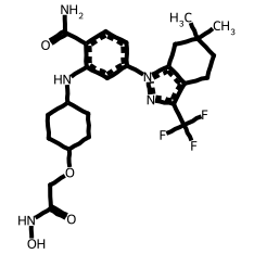 CC1(C)CCc2c(C(F)(F)F)nn(-c3ccc(C(N)=O)c(NC4CCC(OCC(=O)NO)CC4)c3)c2C1